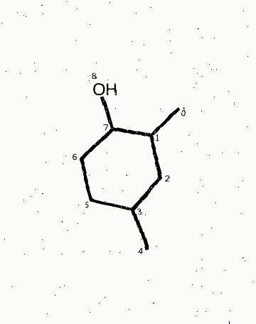 [CH2]C1CC(C)CCC1O